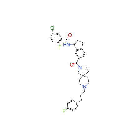 O=C(NC1CCc2ccc(C(=O)N3CCC4(CCN(CCCc5ccc(F)cc5)CC4)C3)cc21)c1cc(Cl)ccc1F